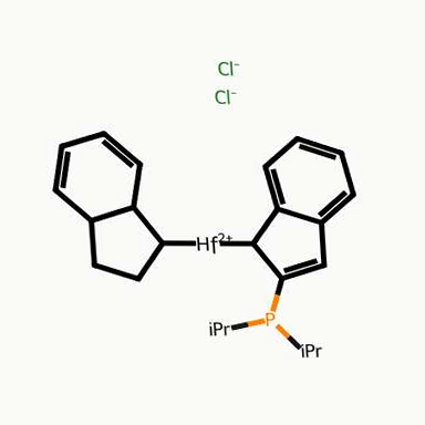 CC(C)P(C1=Cc2ccccc2[CH]1[Hf+2][CH]1CCC2C=CC=CC21)C(C)C.[Cl-].[Cl-]